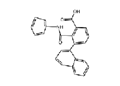 O=C(O)c1cccc(-c2cccc3ccccc23)c1C(=O)Nc1ccccc1